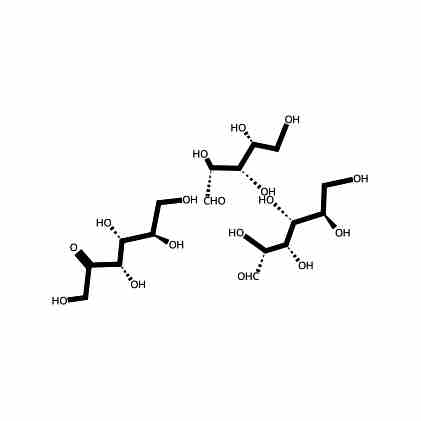 O=C(CO)[C@@H](O)[C@H](O)[C@H](O)CO.O=C[C@H](O)[C@@H](O)[C@H](O)CO.O=C[C@H](O)[C@@H](O)[C@H](O)[C@H](O)CO